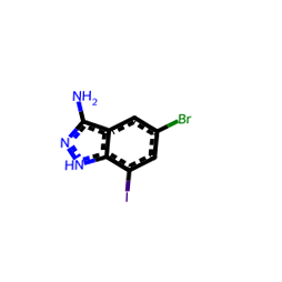 Nc1n[nH]c2c(I)cc(Br)cc12